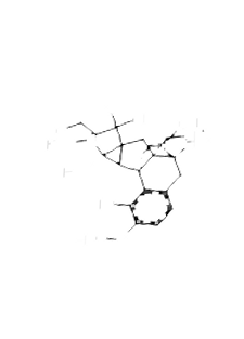 CCCC(C)(O)C12C[C@]3(CC)[C@H]4Cc5ccc(OC)c(O)c5[C@@]3(CCN4C)C1[C@@]2(C)OC